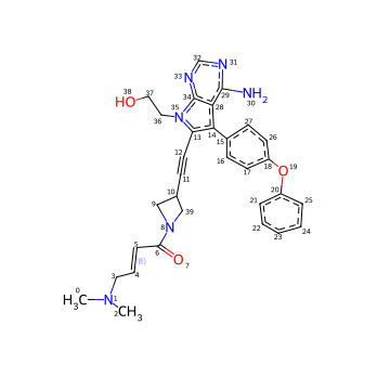 CN(C)C/C=C/C(=O)N1CC(C#Cc2c(-c3ccc(Oc4ccccc4)cc3)c3c(N)ncnc3n2CCO)C1